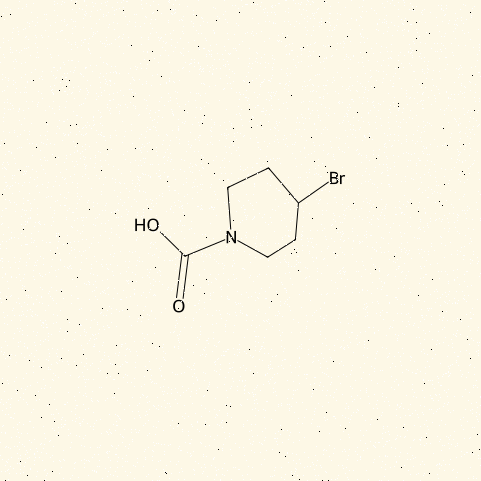 O=C(O)N1CCC(Br)CC1